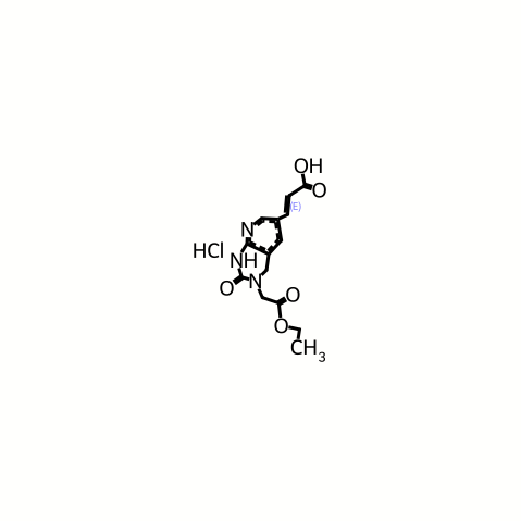 CCOC(=O)CN1Cc2cc(/C=C/C(=O)O)cnc2NC1=O.Cl